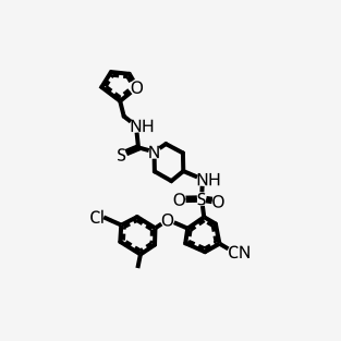 Cc1cc(Cl)cc(Oc2ccc(C#N)cc2S(=O)(=O)NC2CCN(C(=S)NCc3ccco3)CC2)c1